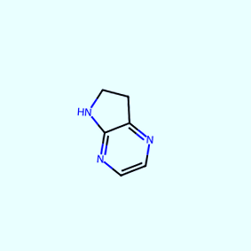 c1cnc2c(n1)CCN2